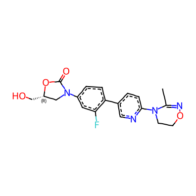 CC1=NOCCN1c1ccc(-c2ccc(N3C[C@H](CO)OC3=O)cc2F)cn1